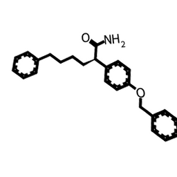 NC(=O)[C@H](CCCCc1ccccc1)c1ccc(OCc2ccccc2)cc1